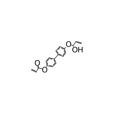 C=CC(=O)Oc1ccc(-c2ccc(OC(O)C=C)cc2)cc1